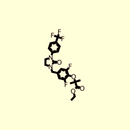 CCOC(=O)C(C)(C)Oc1c(F)cc(CN2CCN(c3ccc(C(F)(F)F)cc3)C2=O)cc1F